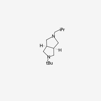 CC(C)CN1C[C@@H]2CN(C(C)(C)C)C[C@@H]2C1